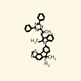 C=Cc1c(/C=C(\C)c2nc(-c3ccccc3)nc(-c3ccccc3)n2)c2ccccc2n1-c1ccc2c(c1)-c1c(ccc3ncsc13)C2(C)C